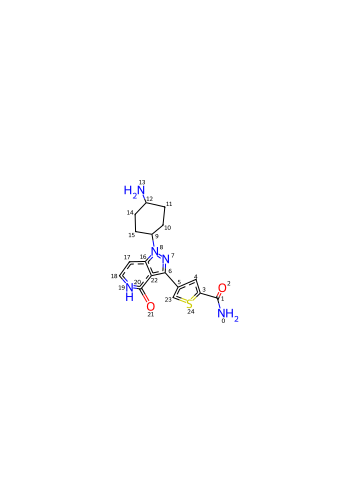 NC(=O)c1cc(-c2nn(C3CCC(N)CC3)c3cc[nH]c(=O)c23)cs1